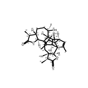 CC1=C[C@@H]2[C@H]3[C@H](C(C)=C4[C@H]5OC(=O)[C@@H](C)[C@@H]5CC[C@@](C)(O)[C@@H]43)[C@@]13[C@@H]2[C@@](C)(O)CC[C@H]1[C@H](C)C(=O)O[C@@H]13